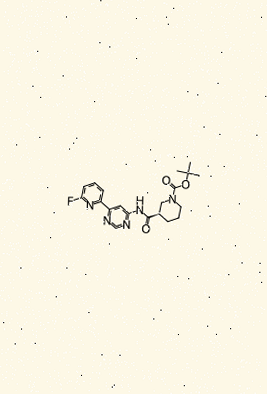 CC(C)(C)OC(=O)N1CCC[C@@H](C(=O)Nc2cc(-c3cccc(F)n3)ncn2)C1